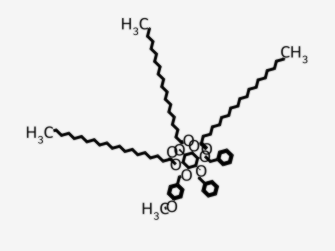 CCCCCCCCCCCCCCCCCCCC(=O)O[C@H]1[C@H](OC(=O)CCCCCCCCCCCCCCCCCCC)[C@@H](OCc2ccccc2)[C@H](OCc2ccccc2)[C@H](OCc2ccc(OC)cc2)[C@@H]1OC(=O)CCCCCCCCCCCCCCCCCCC